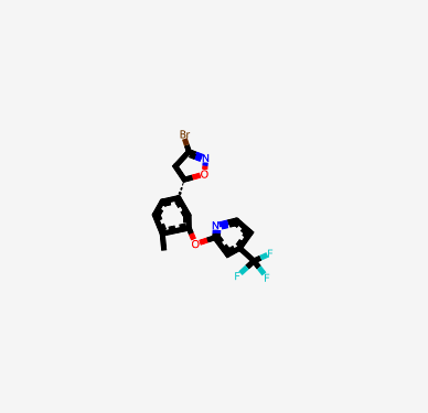 Cc1ccc([C@@H]2CC(Br)=NO2)cc1Oc1cc(C(F)(F)F)ccn1